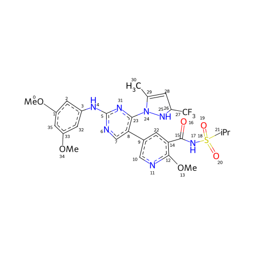 COc1cc(Nc2ncc(-c3cnc(OC)c(C(=O)NS(=O)(=O)C(C)C)c3)c(N3NC(C(F)(F)F)C=C3C)n2)cc(OC)c1